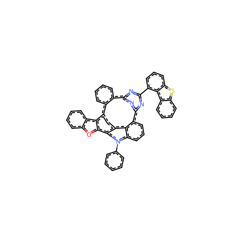 c1ccc(-n2c3cccc4c5nc(-c6cccc7sc8ccccc8c67)nc(n5)c5ccccc5c5cc(c43)c2c2oc3ccccc3c52)cc1